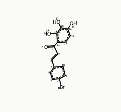 O=C(/C=C/c1ccc(Br)cc1)c1ccc(O)c(O)c1O